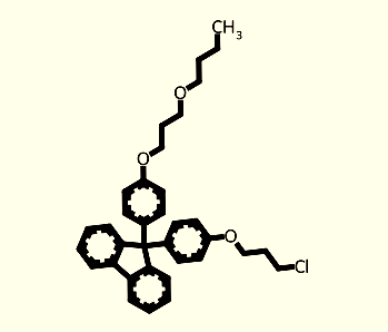 CCCCOCCCOc1ccc(C2(c3ccc(OCCCCl)cc3)c3ccccc3-c3ccccc32)cc1